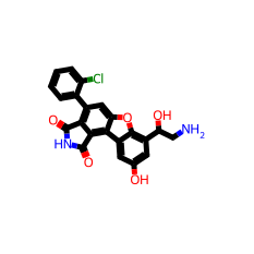 NCC(O)c1cc(O)cc2c1oc1cc(-c3ccccc3Cl)c3c(c12)C(=O)NC3=O